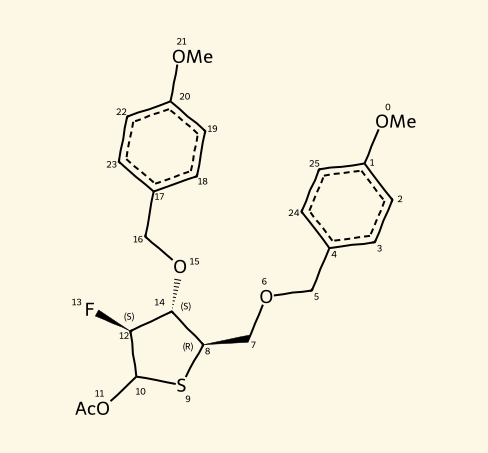 COc1ccc(COC[C@H]2SC(OC(C)=O)[C@@H](F)[C@@H]2OCc2ccc(OC)cc2)cc1